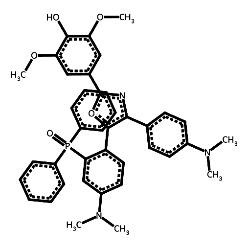 COc1cc(-c2nc(-c3ccc(N(C)C)cc3)c(-c3ccc(N(C)C)cc3P(=O)(c3ccccc3)c3ccccc3)o2)cc(OC)c1O